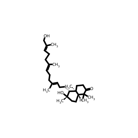 C/C(=C\CC/C(C)=C/CC/C(C)=C/CC[C@@H]1[C@@]2(C)CCC(=O)C(C)(C)[C@@H]2CC[C@]1(C)O)CO